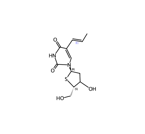 C/C=C/c1cn([C@H]2CC(O)[C@H](CO)S2)c(=O)[nH]c1=O